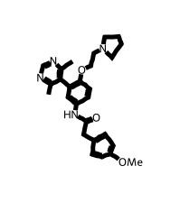 COc1ccc(CC(=O)Nc2ccc(OCCN3CCCC3)c(-c3c(C)ncnc3C)c2)cc1